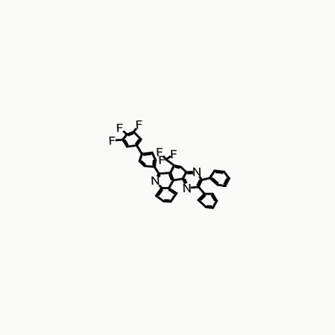 Fc1cc(-c2ccc(-c3nc4ccccc4c4c3c(C(F)(F)F)cc3nc(-c5ccccc5)c(-c5ccccc5)nc34)cc2)cc(F)c1F